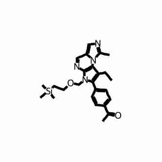 CCc1c(-c2ccc(C(C)=O)cc2)n(COCC[Si](C)(C)C)c2ncc3cnc(C)n3c12